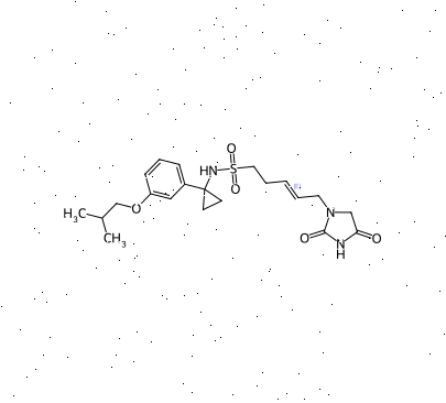 CC(C)COc1cccc(C2(NS(=O)(=O)CC/C=C/CN3CC(=O)NC3=O)CC2)c1